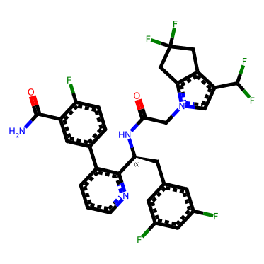 NC(=O)c1cc(-c2cccnc2[C@H](Cc2cc(F)cc(F)c2)NC(=O)Cn2cc(C(F)F)c3c2CC(F)(F)C3)ccc1F